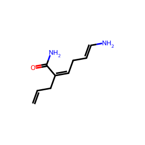 C=CCC(=CCC=CN)C(N)=O